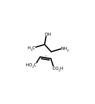 CC(O)CN.O=C(O)/C=C\C(=O)O